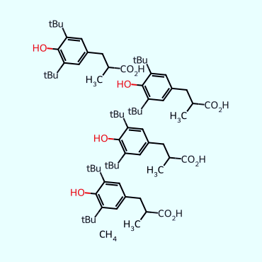 C.CC(Cc1cc(C(C)(C)C)c(O)c(C(C)(C)C)c1)C(=O)O.CC(Cc1cc(C(C)(C)C)c(O)c(C(C)(C)C)c1)C(=O)O.CC(Cc1cc(C(C)(C)C)c(O)c(C(C)(C)C)c1)C(=O)O.CC(Cc1cc(C(C)(C)C)c(O)c(C(C)(C)C)c1)C(=O)O